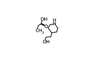 CCC(=O)O.OCCC1CCNCC1